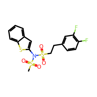 CS(=O)(=O)N(c1cc2ccccc2s1)S(=O)(=O)CCc1ccc(F)c(F)c1